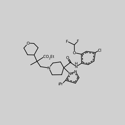 CCOC(=O)C(C)(CN1CCC(C(=O)Nc2ccc(Cl)cc2OC(F)F)(n2nccc2C(C)C)CC1)C1CCOCC1